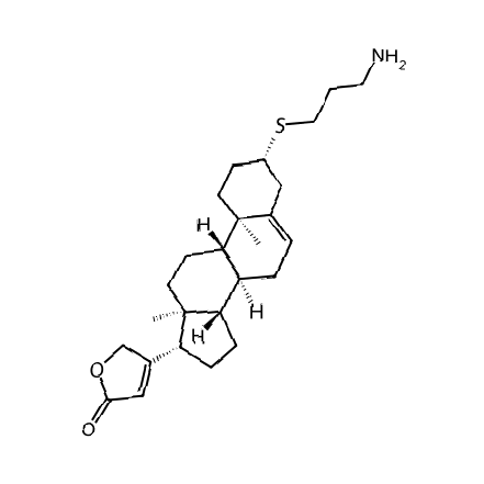 C[C@]12CC[C@H]3[C@@H](CC=C4C[C@@H](SCCCN)CC[C@@]43C)[C@@H]1CC[C@@H]2C1=CC(=O)OC1